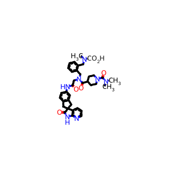 CN(C)C(=O)N1CCC(C(=O)N(CC(=O)Nc2ccc3c(c2)CC2(C3)C(=O)Nc3ncccc32)Cc2ccccc2CN(C)C(=O)O)CC1